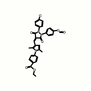 CCOC(=O)c1ccc(-n2c(C)cc(C=C3C(=O)N(c4ccc(Cl)cc4)N(c4ccc(OC=O)cc4)C3=O)c2C)cc1